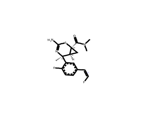 CN(C)C(=O)[C@]12C[C@H]1[C@@](C)(c1cc(/C=C\F)ccc1F)N=C(N)S2